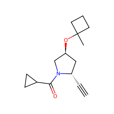 C#C[C@H]1C[C@H](OC2(C)CCC2)CN1C(=O)C1CC1